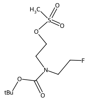 CC(C)(C)OC(=O)N(CCF)CCOS(C)(=O)=O